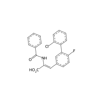 O=C(O)C(=Cc1ccc(F)c(-c2ccccc2Cl)c1)NC(=O)c1ccccc1